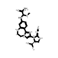 COC(Nc1ccc2c(c1)OCCn1cc(N3C(=C=O)OC[C@H]3C(F)F)nc1-2)C(N)=O